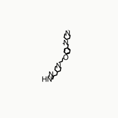 CN1CCC(N(C)Cc2ccc(OCCCN3CCC(Cc4c[nH]cn4)CC3)cc2)CC1